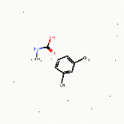 CNC(=O)O.Cc1cccc(C)c1